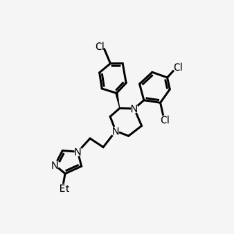 CCc1cn(CCN2CCN(c3ccc(Cl)cc3Cl)[C@H](c3ccc(Cl)cc3)C2)cn1